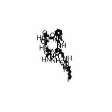 CCC(NC(=N)N)[C@@H]1NC(=O)[C@H](CCCCNC(=O)Cn2cc(CCCF)nn2)NC(=O)N(Cc2ccccc2)NC(=O)[C@H](CC(=O)O)NC(=O)CNC1=O